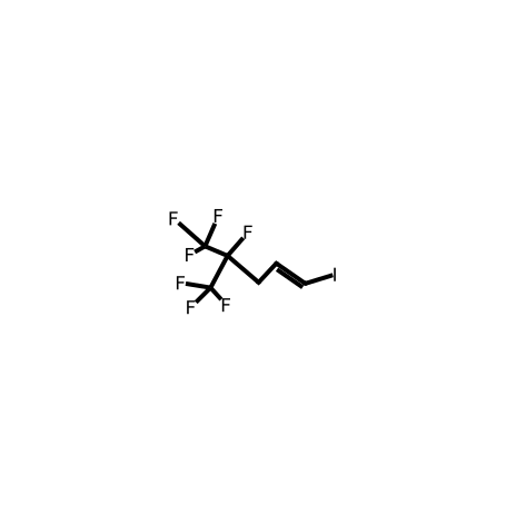 FC(F)(F)C(F)(CC=CI)C(F)(F)F